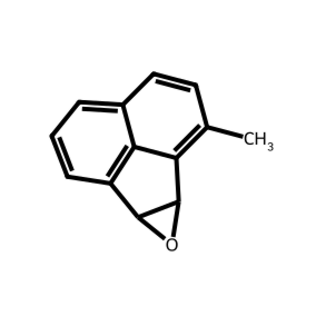 Cc1ccc2cccc3c2c1C1OC31